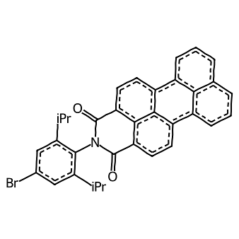 CC(C)c1cc(Br)cc(C(C)C)c1N1C(=O)c2ccc3c4cccc5cccc(c6ccc(c2c36)C1=O)c54